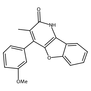 COc1cccc(-c2c(C)c(=O)[nH]c3c2oc2ccccc23)c1